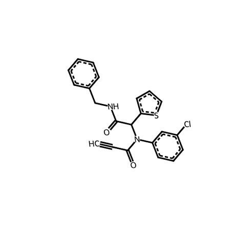 C#CC(=O)N(c1cccc(Cl)c1)C(C(=O)NCc1ccccc1)c1cccs1